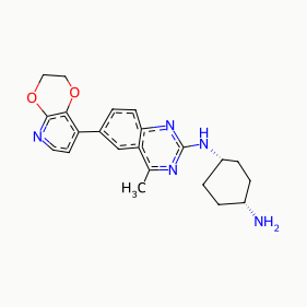 Cc1nc(N[C@H]2CC[C@@H](N)CC2)nc2ccc(-c3ccnc4c3OCCO4)cc12